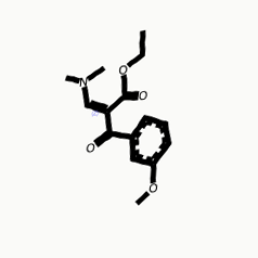 CCOC(=O)/C(=C\N(C)C)C(=O)c1cccc(OC)c1